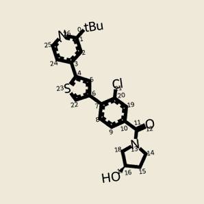 CC(C)(C)c1cc(-c2cc(-c3ccc(C(=O)N4CC[C@@H](O)C4)cc3Cl)cs2)ccn1